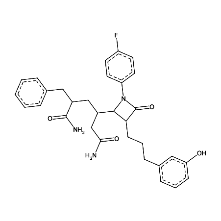 NC(=O)CC(CC(Cc1ccccc1)C(N)=O)C1C(CCCc2cccc(O)c2)C(=O)N1c1ccc(F)cc1